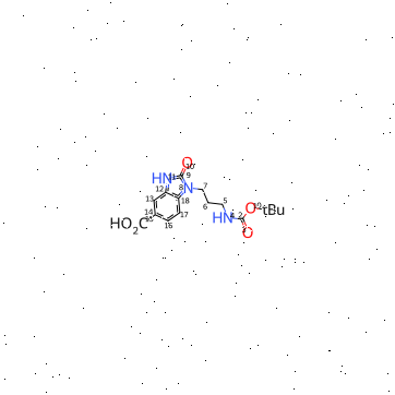 CC(C)(C)OC(=O)NCCCn1c(=O)[nH]c2cc(C(=O)O)ccc21